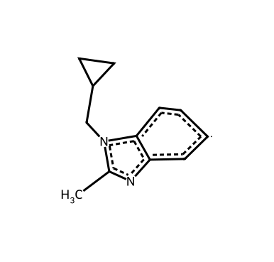 Cc1nc2c[c]ccc2n1CC1CC1